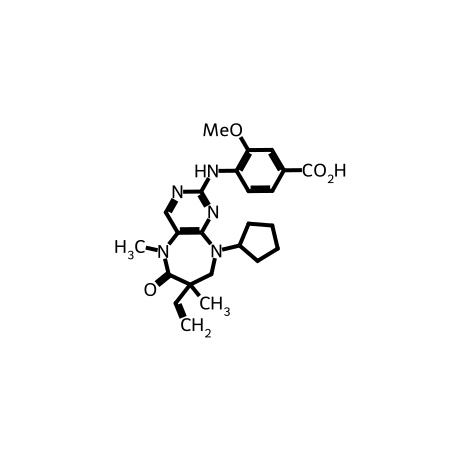 C=CC1(C)CN(C2CCCC2)c2nc(Nc3ccc(C(=O)O)cc3OC)ncc2N(C)C1=O